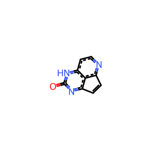 O=c1nc2c3c(nccc3[nH]1)C=C2